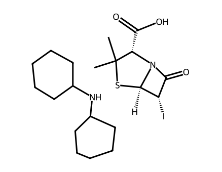 C1CCC(NC2CCCCC2)CC1.CC1(C)S[C@@H]2[C@@H](I)C(=O)N2[C@H]1C(=O)O